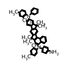 Cc1ccc(N(c2ccccc2)c2ccc3c(c2)C(C)(C)c2cc4c(cc2-3)C(C)(C)c2cc(N(c3ccc(N)cc3)c3ccc(C)cc3C)c3ccccc3c2-4)c(C)c1